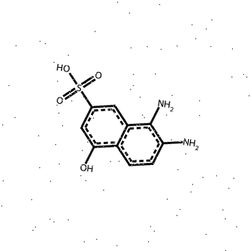 Nc1ccc2c(O)cc(S(=O)(=O)O)cc2c1N